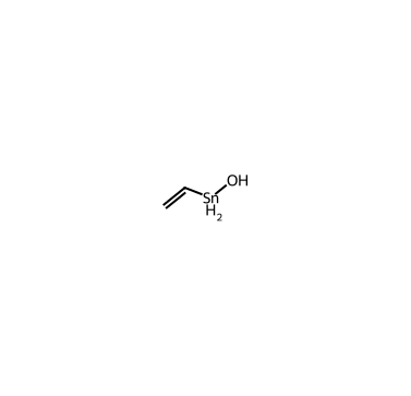 C=[CH][SnH2][OH]